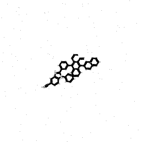 C=Cc1c(/C=C\C)c(-c2cccc(-c3nc4cc(C#N)ccc4n3-c3ccccc3)c2)c2ccccc2c1-c1ccc2ccccc2c1